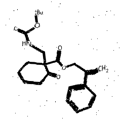 C=C(COC(=O)C1(CNC(=O)OC(C)(C)C)CCCCC1=O)c1ccccc1